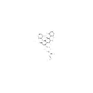 CCCc1nccc(C)c1-n1c(=O)nc(N2CCN(C(=O)/C=C/C(C)=O)C[C@@H]2C)c2cc(F)c(-c3c(O)cccc3F)[n+]([O-])c21